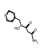 NC(=O)CC(=O)N(O)Cc1ccncc1